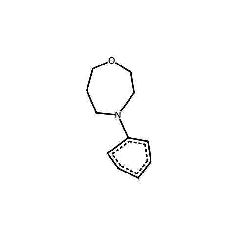 [c]1ccc(N2CCCOCC2)cc1